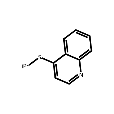 CC(C)Sc1ccnc2ccccc12